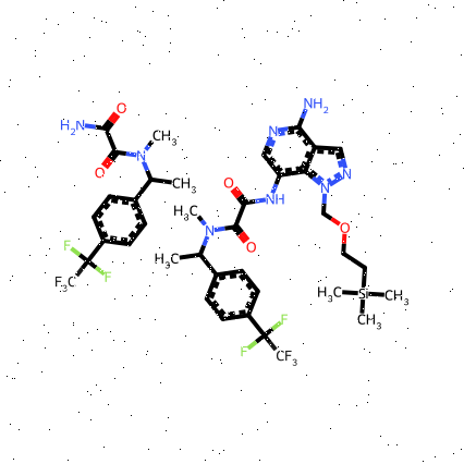 CC(c1ccc(C(F)(F)C(F)(F)F)cc1)N(C)C(=O)C(=O)Nc1cnc(N)c2cnn(COCC[Si](C)(C)C)c12.CC(c1ccc(C(F)(F)C(F)(F)F)cc1)N(C)C(=O)C(N)=O